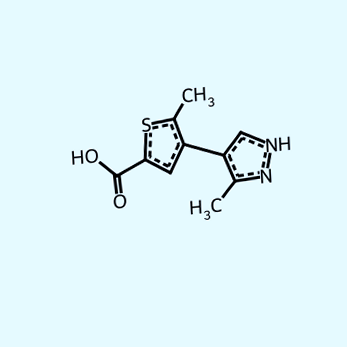 Cc1n[nH]cc1-c1cc(C(=O)O)sc1C